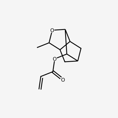 C=CC(=O)OC1C2CC3C(C)OC1C3C2